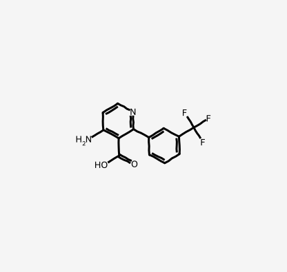 Nc1ccnc(-c2cccc(C(F)(F)F)c2)c1C(=O)O